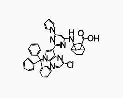 O=C(O)C1C2CCC(CC2)C1Nc1cc(-n2cccc2)nc(-c2cn(C(c3ccccc3)(c3ccccc3)c3ccccc3)c3ncc(Cl)nc23)n1